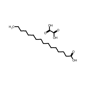 CCCCCCCCCCCCCCCC(=O)O.O=C(O)C(=O)O